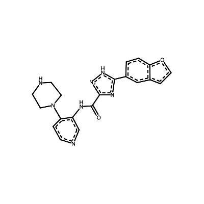 O=C(Nc1cnccc1N1CCNCC1)c1n[nH]c(-c2ccc3occc3c2)n1